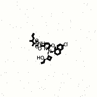 C=CCC(C)C(C)S(=O)(=O)NC(=O)c1ccc2c(n1)N(C[C@@H]1CC[C@H]1C(O)C=C)C[C@@]1(CCCc3cc(Cl)ccc31)CO2